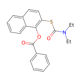 CCN(CC)C(=O)Sc1ccc2ccccc2c1OC(=O)c1ccccc1